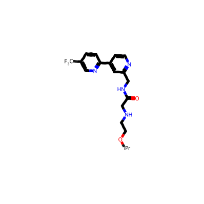 CC(C)OCCNCC(=O)NCc1cc(-c2ccc(C(F)(F)F)cn2)ccn1